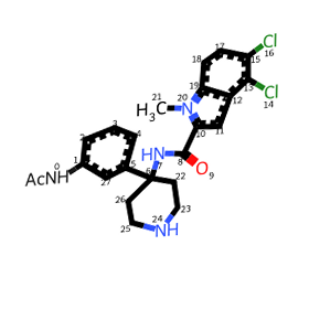 CC(=O)Nc1cccc(C2(NC(=O)c3cc4c(Cl)c(Cl)ccc4n3C)CCNCC2)c1